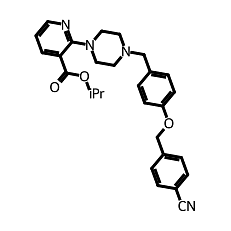 CC(C)OC(=O)c1cccnc1N1CCN(Cc2ccc(OCc3ccc(C#N)cc3)cc2)CC1